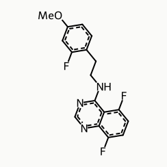 COc1ccc(CCNc2ncnc3c(F)ccc(F)c23)c(F)c1